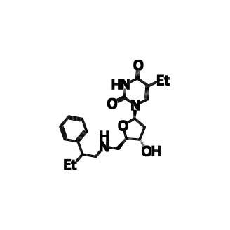 CCc1cn([C@H]2C[C@H](O)[C@@H](CNCC(CC)c3ccccc3)O2)c(=O)[nH]c1=O